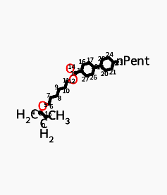 C=C(C)C(=C)OCCCCCCOC(=O)C1CCC(C2CCC(CCCCC)CC2)CC1